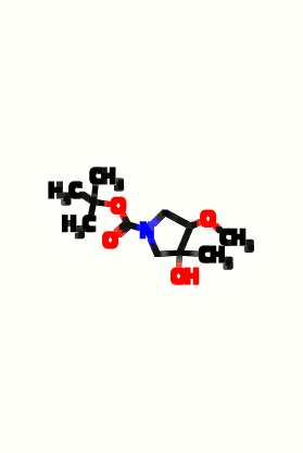 COC1CN(C(=O)OC(C)(C)C)CC1(C)O